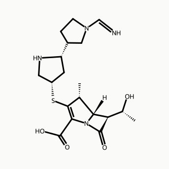 C[C@@H](O)[C@H]1C(=O)N2C(C(=O)O)=C(S[C@@H]3CN[C@H](C4CCN(C=N)C4)C3)[C@H](C)[C@H]12